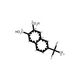 O=C(O)c1cc2ccc(C(F)(F)C(F)(F)F)cc2cc1C(=O)O